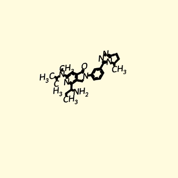 CCC(N)c1nc(N(C)C(C)C)cc2c1CN(c1cccc(-c3nnc4n3C(C)CC4)c1)C2=O